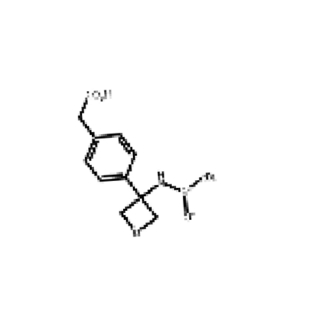 CC(C)(C)[S+]([O-])NC1(c2ccc(CC(=O)O)cc2)COC1